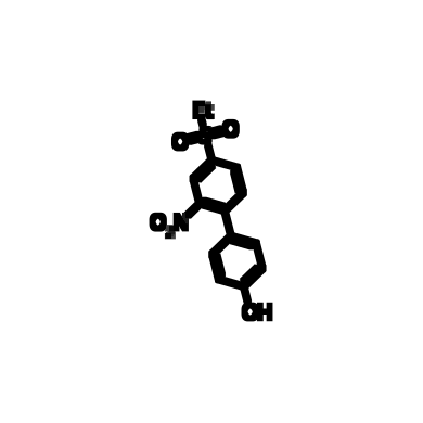 CCS(=O)(=O)c1ccc(-c2ccc(O)cc2)c([N+](=O)[O-])c1